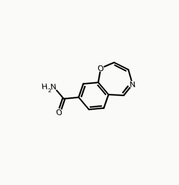 NC(=O)c1ccc2c(c1)OC=CN=C2